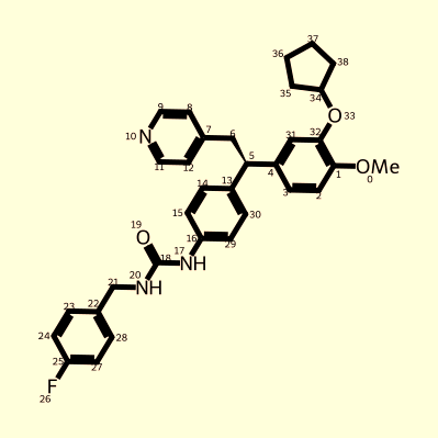 COc1ccc([C@H](Cc2ccncc2)c2ccc(NC(=O)NCc3ccc(F)cc3)cc2)cc1OC1CCCC1